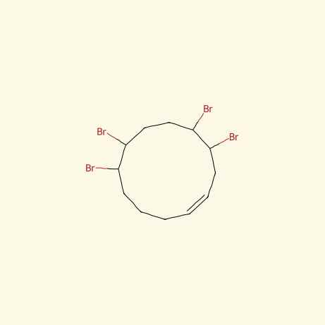 BrC1CC=CCCCC(Br)C(Br)CCC1Br